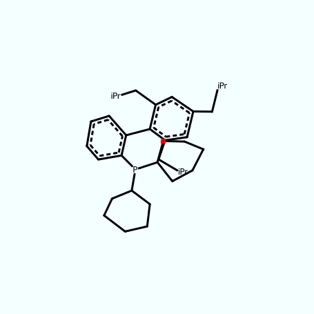 CC(C)Cc1cc(CC(C)C)c(-c2ccccc2P(C2CCCCC2)C2CCCCC2)c(CC(C)C)c1